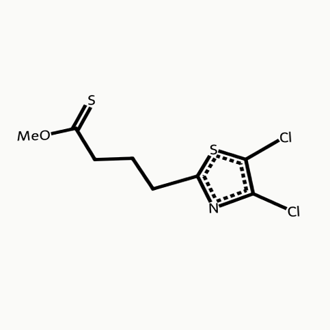 COC(=S)CCCc1nc(Cl)c(Cl)s1